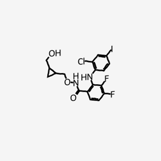 O=C(NOCC1CC1CO)c1ccc(F)c(F)c1Nc1ccc(I)cc1Cl